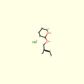 Br.CC=C(C)COC1CCCCO1